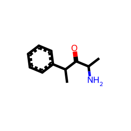 CC(N)C(=O)C(C)c1ccccc1